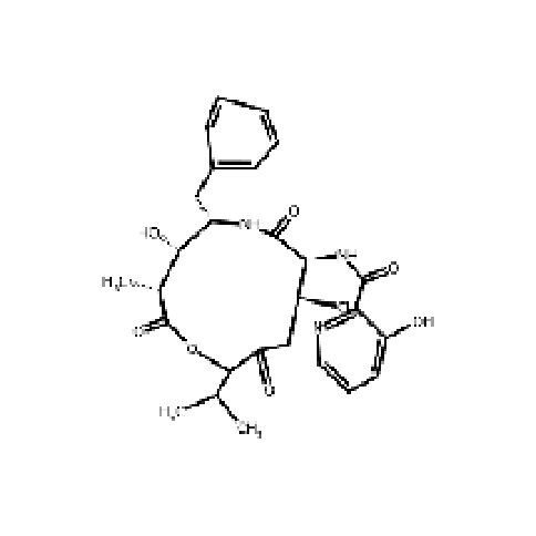 CC(C)C1OC(=O)[C@H](C)[C@H](O)[C@H](Cc2ccccc2)NC(=O)[C@@H](NC(=O)c2ncccc2O)[C@@H](C)CC1=O